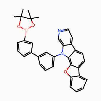 CC1(C)OB(c2cccc(-c3cccc(-n4c5cnccc5c5ccc6c7ccccc7oc6c54)c3)c2)OC1(C)C